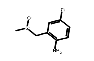 C[S+]([O-])Cc1cc(Cl)ccc1N